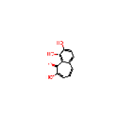 O=c1c(O)cccc2ccc(O)c(O)c12